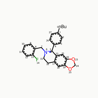 CCCCc1ccc(C2=[N+](Cc3ccccc3F)CCc3cc4c(cc32)OCO4)cc1